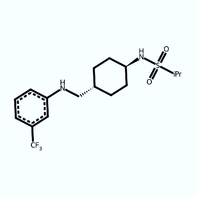 CC(C)S(=O)(=O)N[C@H]1CC[C@H](CNc2cccc(C(F)(F)F)c2)CC1